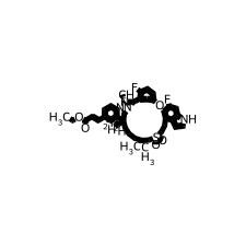 [2H]C([2H])([2H])C1(c2cccc(/C=C/C(=O)OCC)c2)CCCC(C)(C)CS(=O)(=O)CCc2c(c(F)cc3[nH]ccc23)Oc2ccc(F)c(c2)-c2nc1nn2C